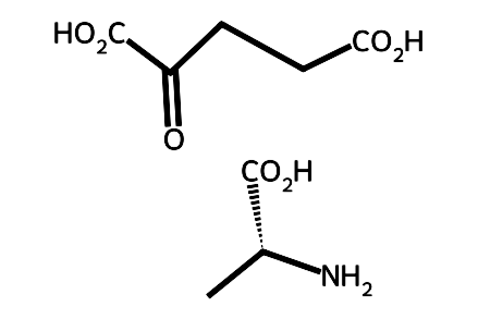 C[C@@H](N)C(=O)O.O=C(O)CCC(=O)C(=O)O